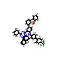 Cc1cc(C(F)(F)F)ccc1-c1ccc2c(c1)c1ccccc1n2-c1ccc(-c2cccc3c2oc2ccccc23)cc1-c1nc(-c2ccccc2)nc(-c2ccccc2)n1